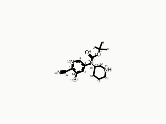 CC(C)(C)OC(=O)N(c1cnc(C#N)c(Br)c1)[C@@H]1CCCNC1